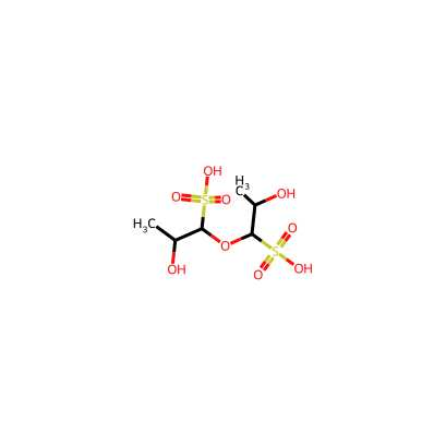 CC(O)C(OC(C(C)O)S(=O)(=O)O)S(=O)(=O)O